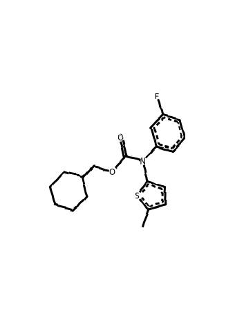 Cc1ccc(N(C(=O)OCC2CCCCC2)c2cccc(F)c2)s1